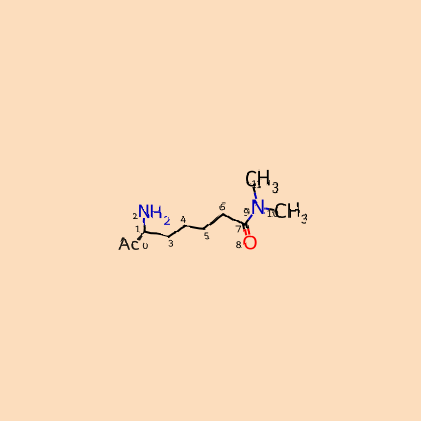 CC(=O)[C@@H](N)CCCCC(=O)N(C)C